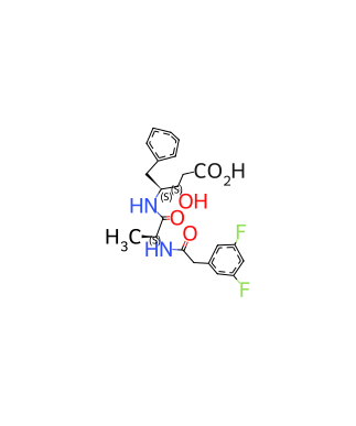 C[C@H](NC(=O)Cc1cc(F)cc(F)c1)C(=O)N[C@@H](Cc1ccccc1)[C@@H](O)CC(=O)O